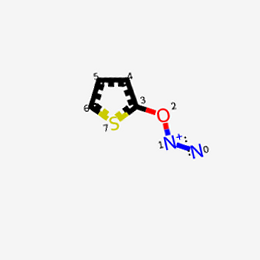 [N][N+]Oc1cccs1